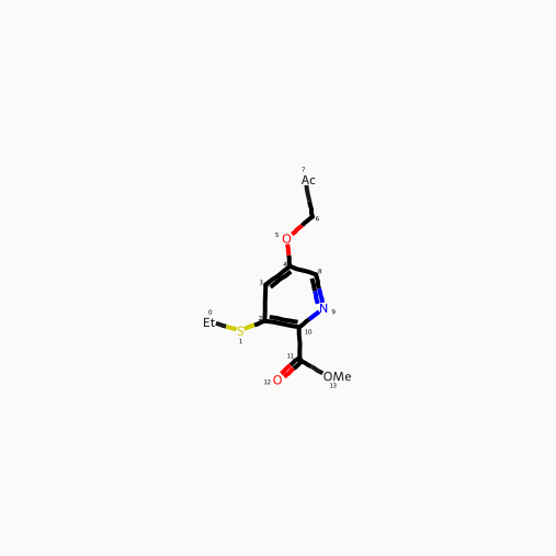 CCSc1cc(OCC(C)=O)cnc1C(=O)OC